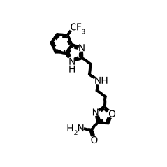 NC(=O)c1coc(CCNCCc2nc3c(C(F)(F)F)cccc3[nH]2)n1